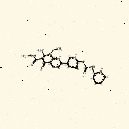 CCn1c(N)c(C(=O)NC)c(=O)c2ccc(-c3ccc(CC(=O)Nc4ccccn4)nc3)nc21